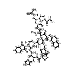 CCNC(=O)[C@@H]1CCCN1C(=O)[C@H](CCCNC(=N)N)NC(=O)[C@H](CC(C)C)NC(=O)[C@@H](Cc1ccc2ccccc2c1)NC(=O)[C@H](Cc1c[nH]cn1)NC(=O)[C@H](CO)NC(=O)[C@H](Cc1c[nH]c2ccccc12)NC(=O)[C@H](Cc1c[nH]cn1)NC(=O)[C@@H]1CCC(=O)N1